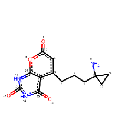 NC1(CCCc2cc(=O)oc3[nH]c(=O)[nH]c(=O)c23)CC1